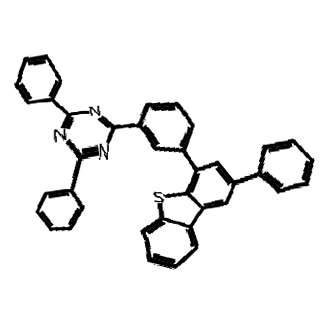 c1ccc(-c2cc(-c3cccc(-c4nc(-c5ccccc5)nc(-c5ccccc5)n4)c3)c3sc4ccccc4c3c2)cc1